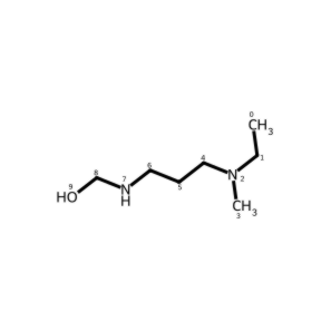 CCN(C)CCCNCO